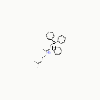 CC(C)=CCC/C(C)=C/C[PH](c1ccccc1)(c1ccccc1)c1ccccc1